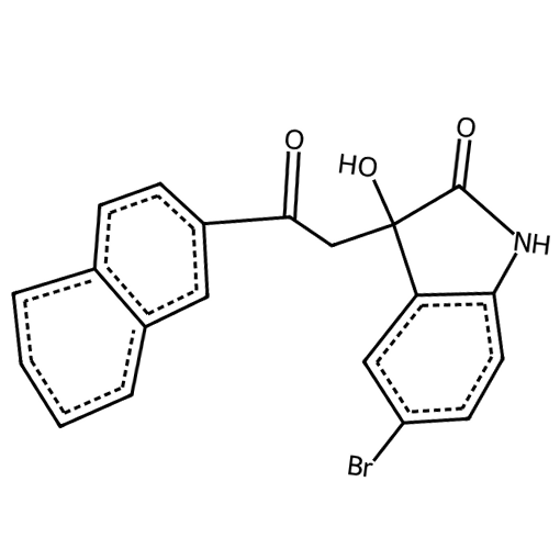 O=C(CC1(O)C(=O)Nc2ccc(Br)cc21)c1ccc2ccccc2c1